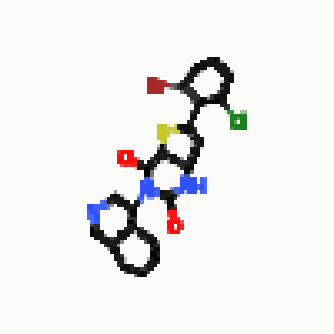 O=c1[nH]c2cc(-c3c(Cl)cccc3Br)sc2c(=O)n1-c1cncc2ccccc12